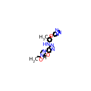 C=CC(=O)N1CCN2C[C@@H]1COc1cc3ncnc(Nc4ccc(Oc5ccn6ncnc6c5)c(C)c4)c3cc12